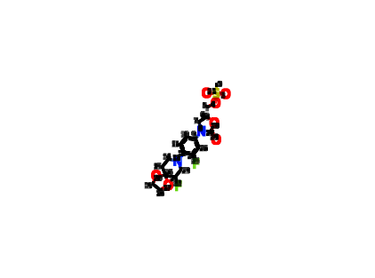 CS(=O)(=O)OC[C@H]1CN(c2ccc(N3CCC4(OCCO4)C(F)C3)c(F)c2)C(=O)O1